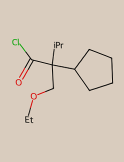 CCOCC(C(=O)Cl)(C(C)C)C1CCCC1